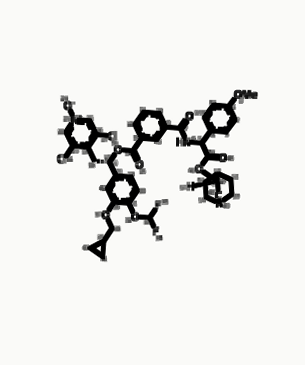 COc1ccc(C(NC(=O)c2cccc(C(=O)O[C@@H](Cc3c(Cl)c[n+]([O-])cc3Cl)c3ccc(OC(F)F)c(OCC4CC4)c3)c2)C(=O)O[C@H]2CN3CCC2CC3)cc1